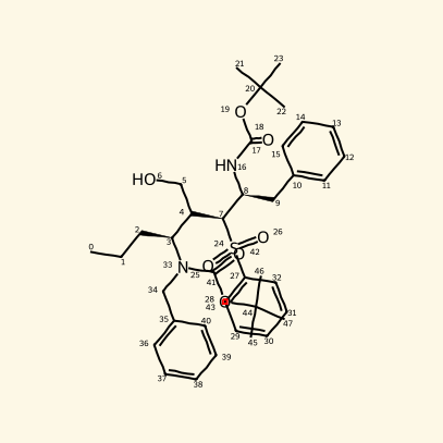 CCC[C@@H](C(CO)[C@@H]([C@H](Cc1ccccc1)NC(=O)OC(C)(C)C)S(=O)(=O)c1ccccc1)N(Cc1ccccc1)C(=O)OC(C)(C)C